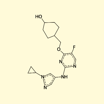 OC1CCC(COc2nc(Nc3cnn(C4CC4)c3)ncc2F)CC1